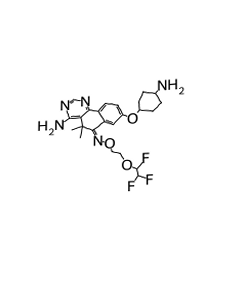 CC1(C)/C(=N/OCCOC(F)C(F)F)c2cc(OC3CCC(N)CC3)ccc2-c2ncnc(N)c21